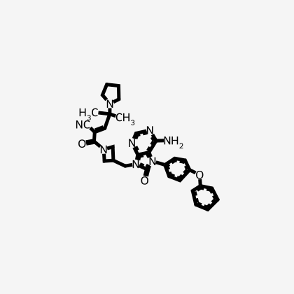 CC(C)(C=C(C#N)C(=O)N1CC(Cn2c(=O)n(-c3ccc(Oc4ccccc4)cc3)c3c(N)ncnc32)C1)N1CCCC1